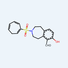 O=Cc1c(O)ccc2c1CCN(S(=O)(=O)C1=CCC=CC=C1)CC2